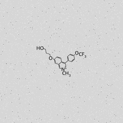 C[n+]1cc(-c2ccc(OC(F)(F)F)cc2)c2ccc(OCCCO)cc2c1